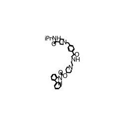 CC(C)NC(=O)C1CCN(Cc2ccc(C(=O)CNCCN3CCC(OC(=O)Nc4ccccc4-c4ccccc4)CC3)cc2)CC1